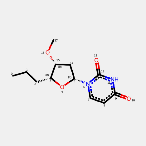 CCC[C@H]1O[C@@H](n2ccc(=O)[nH]c2=O)C[C@H]1OC